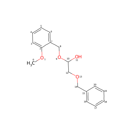 COc1ccccc1COC(O)COCc1ccccc1